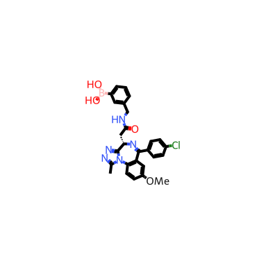 COc1ccc2c(c1)C(c1ccc(Cl)cc1)=N[C@@H](CC(=O)NCc1cccc(B(O)O)c1)c1nnc(C)n1-2